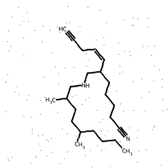 C#CC/C=C\C(CCCCC#N)CNCC(C)CCC(C)CCCC